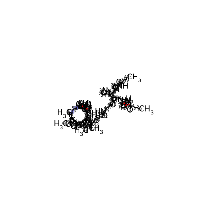 CCCCCC(=O)Nc1cccc(CN(Cc2cc(CN(Cc3ccccn3)Cc3cccc(NC(=O)CCCCC)n3)cc(OCCCCNC(=O)CCSSCCC(=O)N(C)[C@H](C)C(=O)O[C@H]3CC(=O)N(C)c4cc(cc(OC)c4Cl)C/C(C)=C/C=C/[C@H](OC)[C@]4(O)C[C@@H](OC(=O)N4)[C@H](C)C4(C)O[C@]34C)c2)Cc2ccccn2)n1